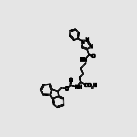 O=C(NC(CCCCNC(=O)c1cn(-c2ccccc2)nn1)C(=O)O)OCC1c2ccccc2-c2ccccc21